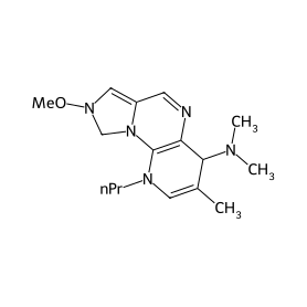 CCCN1C=C(C)C(N(C)C)C2=C1N1CN(OC)C=C1C=N2